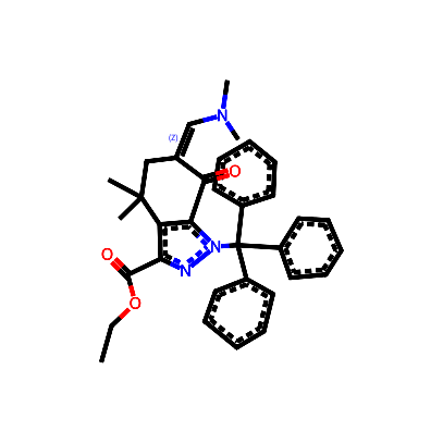 CCOC(=O)c1nn(C(c2ccccc2)(c2ccccc2)c2ccccc2)c2c1C(C)(C)C/C(=C/N(C)C)C2=O